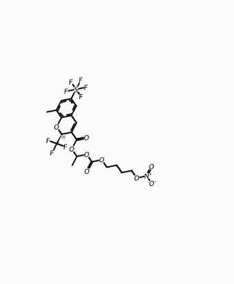 Cc1cc(S(F)(F)(F)(F)F)cc2c1O[C@H](C(F)(F)F)C(C(=O)OC(C)OC(=O)OCCCCO[N+](=O)[O-])=C2